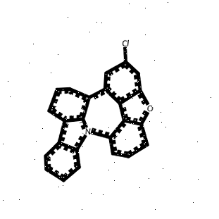 Clc1cc2oc3cccc4c3c2c(c1)c1cccc2c3ccccc3n4c12